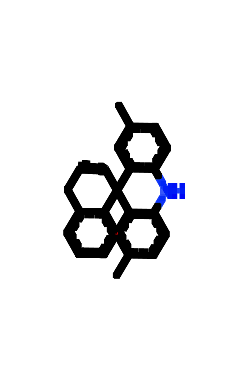 Cc1ccc2c(c1)C1(c3ccccc3Cc3ccccc31)c1cc(C)ccc1N2